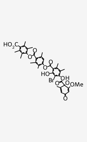 COC1=CC(=O)C=C(C)[C@]1(O)C(=O)Oc1c(C)c(C)c(C(=O)Oc2cc(C)c(C(=O)Oc3c(C)c(C)c(C(=O)O)c(C)c3C)c(C)c2C)c(O)c1Br